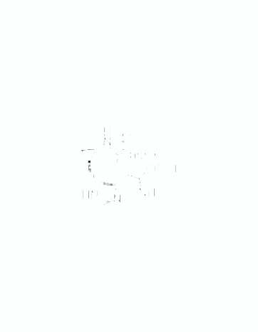 CCCCCCCCS(=O)(=O)NC1CC1=O.N[C@@H](Cc1c[nH]cn1)C(=O)O